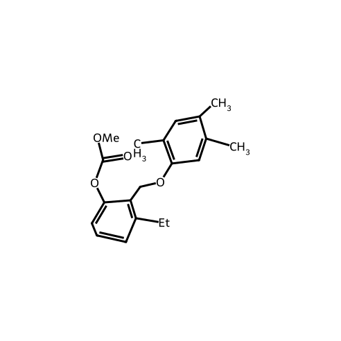 CCc1cccc(OC(=O)OC)c1COc1cc(C)c(C)cc1C